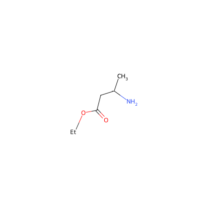 CCOC(=O)C[C](C)N